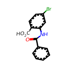 O=C(Nc1cc(Br)ccc1C(=O)O)c1ccccc1